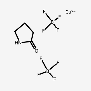 F[B-](F)(F)F.F[B-](F)(F)F.O=C1CCCN1.[Cu+2]